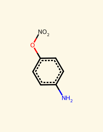 Nc1ccc(O[N+](=O)[O-])cc1